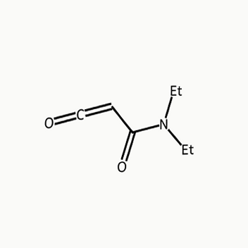 CCN(CC)C(=O)C=C=O